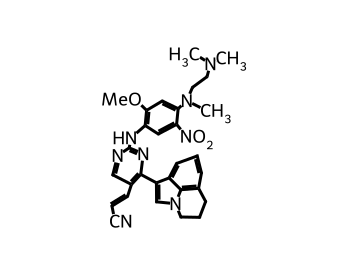 COc1cc(N(C)CCN(C)C)c([N+](=O)[O-])cc1Nc1ncc(/C=C/C#N)c(-c2cn3c4c(cccc24)CCC3)n1